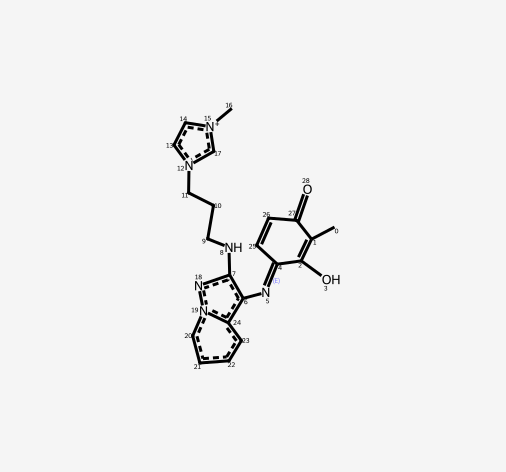 CC1=C(O)/C(=N/c2c(NCCCn3cc[n+](C)c3)nn3ccccc23)C=CC1=O